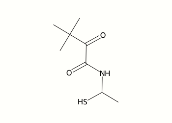 CC(S)NC(=O)C(=O)C(C)(C)C